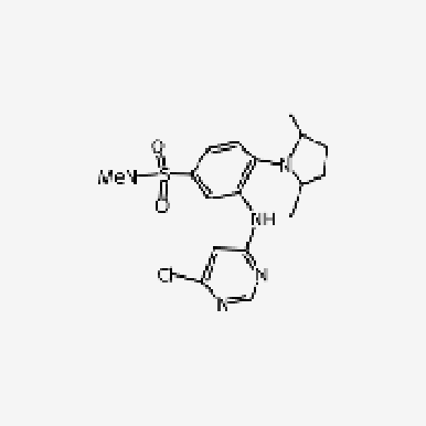 CNS(=O)(=O)c1ccc(N2C(C)CCC2C)c(Nc2cc(Cl)ncn2)c1